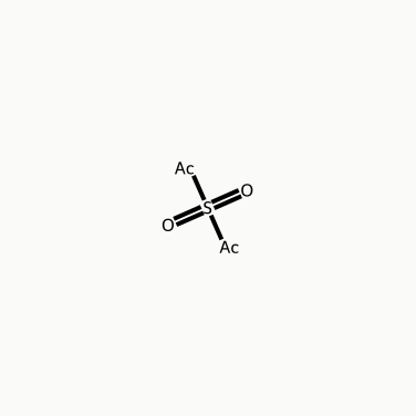 CC(=O)S(=O)(=O)C(C)=O